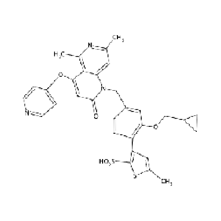 Cc1cc2c(c(Oc3ccncc3)cc(=O)n2Cc2ccc(-c3cc(C)sc3S(=O)(=O)O)c(OCC3CC3)c2)c(C)n1